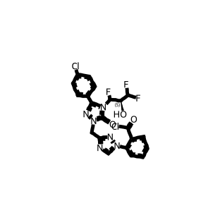 O=C(Cl)c1ccccc1-n1cnc(Cn2nc(-c3ccc(Cl)cc3)n(C(F)[C@H](O)C(F)F)c2=O)n1